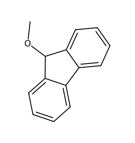 COC1c2ccccc2-c2ccccc21